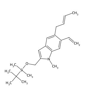 C=Cc1cc2c(cc1CC=CC)cc(CO[Si](C)(C)C(C)(C)C)n2C